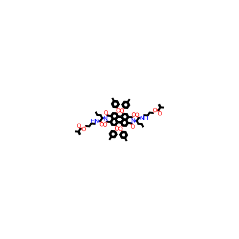 C=C(C)C(=O)OCCCCNC(=O)C(CCC)N1C(=O)c2cc(Oc3ccc(C)cc3)c3c4c(Oc5ccc(C)cc5)cc5c6c(cc(Oc7ccc(C)cc7)c(c7c(Oc8ccc(C)cc8)cc(c2c37)C1=O)c64)C(=O)N(C(CCC)C(=O)NCCCCOC(=O)C(=C)C)C5=O